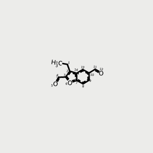 CCc1c([C]=O)oc2ccc(C=O)cc12